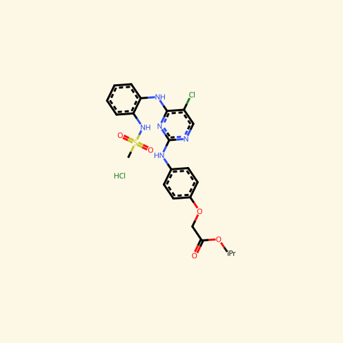 CC(C)OC(=O)COc1ccc(Nc2ncc(Cl)c(Nc3ccccc3NS(C)(=O)=O)n2)cc1.Cl